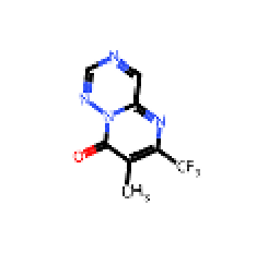 Cc1c(C(F)(F)F)nc2cncnn2c1=O